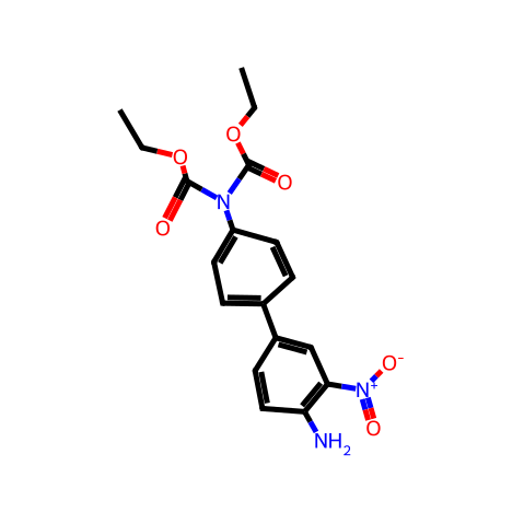 CCOC(=O)N(C(=O)OCC)c1ccc(-c2ccc(N)c([N+](=O)[O-])c2)cc1